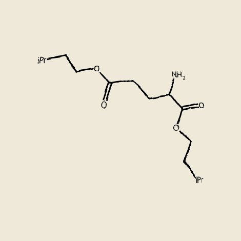 CC(C)CCOC(=O)CCC(N)C(=O)OCCC(C)C